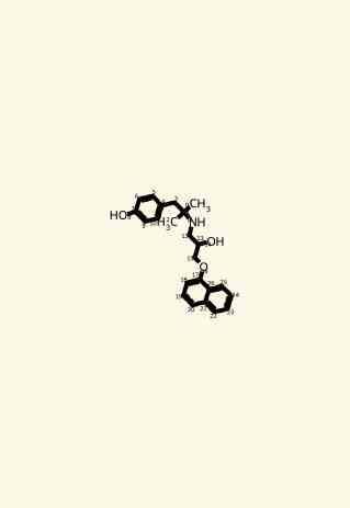 CC(C)(Cc1ccc(O)cc1)NCC(O)COc1cccc2ccccc12